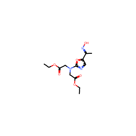 CCOC(=O)CN(CC(=O)OCC)c1ncc(C(C)=NO)o1